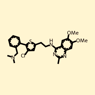 COc1cc2nc(C)nc(NCCc3cc(Cl)c(-c4ccccc4CN(C)C)s3)c2cc1OC